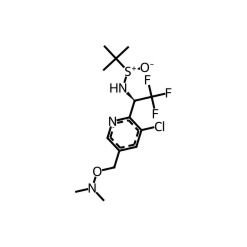 CN(C)OCc1cnc([C@@H](N[S@@+]([O-])C(C)(C)C)C(F)(F)F)c(Cl)c1